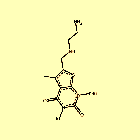 CCCCn1c(=O)n(CC)c(=O)c2c(C)c(CNCCN)sc21